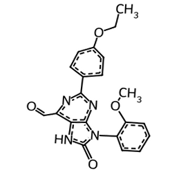 CCOc1ccc(-c2nc(C=O)c3[nH]c(=O)n(-c4ccccc4OC)c3n2)cc1